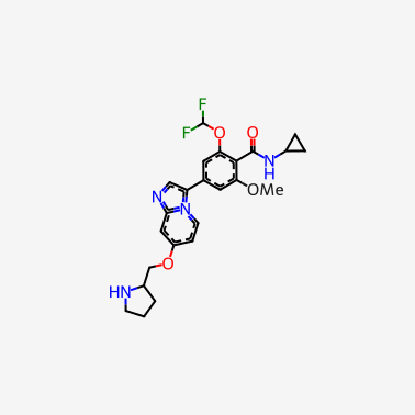 COc1cc(-c2cnc3cc(OCC4CCCN4)ccn23)cc(OC(F)F)c1C(=O)NC1CC1